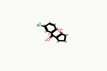 O=c1c2c(oc3ccc(Br)cc13)CCC2